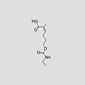 CCNC(=O)OCCCC=C(C)C(=O)O